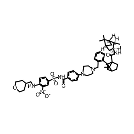 C[C@H]1[C@@H](NC(=O)C23CCC(C=C2c2ccccc2CN2CCN(c4ccc(C(=O)NS(=O)(=O)c5ccc(NCC6CCOCC6)c([N+](=O)[O-])c5)cc4)CC2)C3(C)C)C[C@@H]2C[C@@H]1C2(C)C